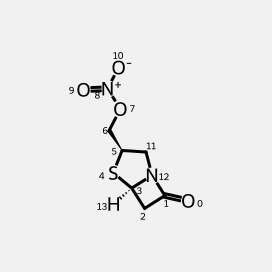 O=C1C[C@H]2S[C@@H](CO[N+](=O)[O-])CN12